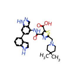 CC1(C)CCN(Cc2nc(C(=O)Nc3cc(-c4cccc5[nH]ccc45)cc4[nH]ncc34)c(C(=O)O)s2)CC1